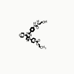 CCCOC(=O)N1CCC(n2ncc3c(N4CCOCC4)nc(-c4ccc(NC(=O)NCCO)cc4)nc32)CC1